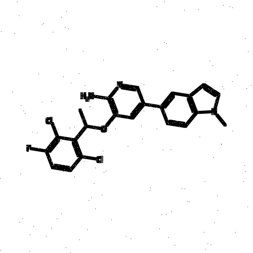 CC(Oc1cc(-c2ccc3c(ccn3C)c2)cnc1N)c1c(Cl)ccc(F)c1Cl